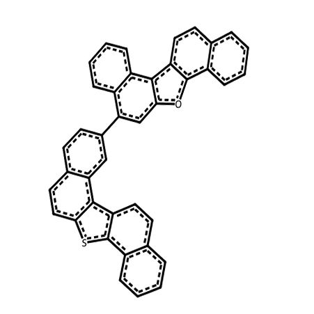 c1ccc2c(c1)ccc1c2oc2cc(-c3ccc4ccc5sc6c7ccccc7ccc6c5c4c3)c3ccccc3c21